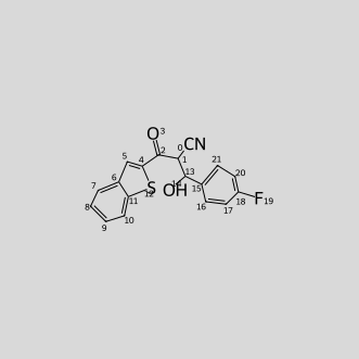 N#CC(C(=O)c1cc2ccccc2s1)C(O)c1ccc(F)cc1